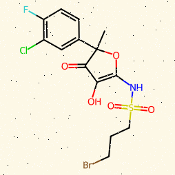 CC1(c2ccc(F)c(Cl)c2)OC(NS(=O)(=O)CCCBr)=C(O)C1=O